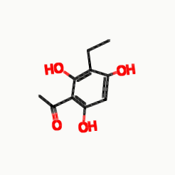 CCc1c(O)cc(O)c(C(C)=O)c1O